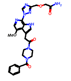 COc1cnc(-n2cnc(COCC(N)=O)n2)c2[nH]cc(CC(=O)N3CCN(C(=O)c4ccccc4)CC3)c12